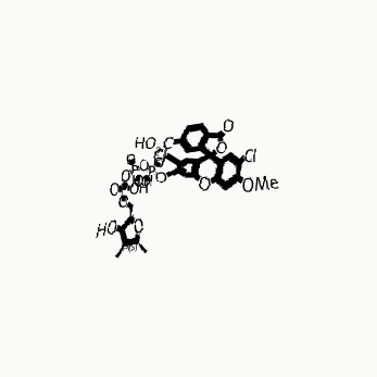 COc1cc2c(cc1Cl)C1(OC(=O)c3ccc(C(=O)O)cc31)c1cc(Cl)c(OP(=O)(O)OP(=O)(O)OP(=O)(O)OC[C@H]3O[C@@H](C)[C@@H](C)C3O)cc1O2